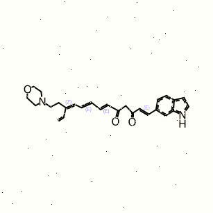 C=C\C(=C/C=C/C=C/C(=O)CC(=O)/C=C/c1ccc2cc[nH]c2c1)CCN1CCOCC1